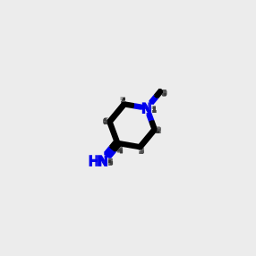 CN1CCC(=N)CC1